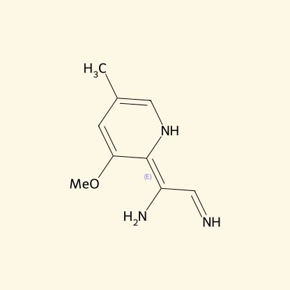 COC1=CC(C)=CN/C1=C(/N)C=N